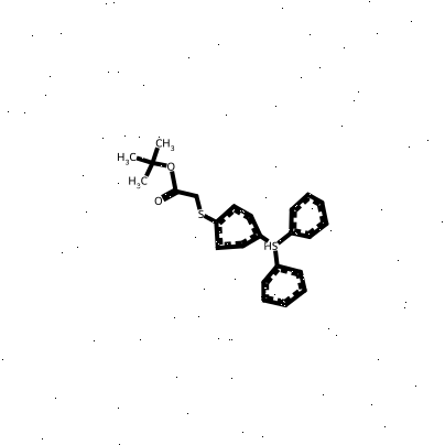 CC(C)(C)OC(=O)CSc1ccc([SH](c2ccccc2)c2ccccc2)cc1